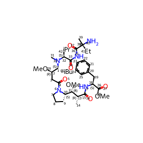 CC[C@H](C)[C@@H]([C@@H](CC(=O)N1CCC[C@H]1[C@H](OC)[C@@H](C)C(=O)N[C@@H](Cc1ccccc1)C(=O)OC)OC)N(C)[C@H](C(=O)NC(=O)[C@](C)(N)CC)C(C)C